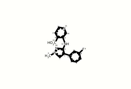 Cn1cc(-c2cccc(F)c2)c(Nc2cnccc2C(=O)O)n1